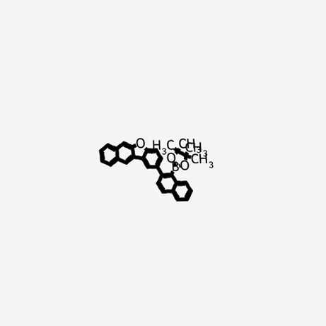 CC1(C)OB(c2c(-c3ccc4oc5cc6ccccc6cc5c4c3)ccc3ccccc23)OC1(C)C